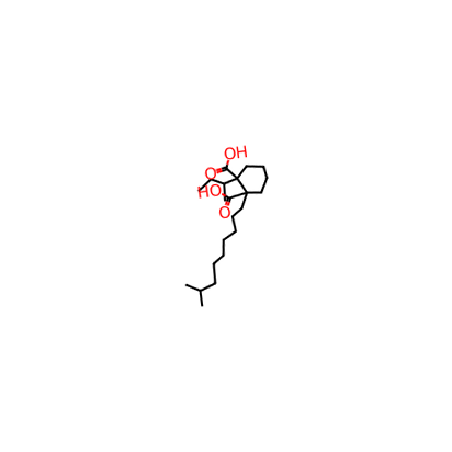 CCC(C)C1(C(=O)O)CCCCC1(CCCCCCCC(C)C)C(=O)O